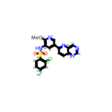 COc1ncc(-c2ccc3ncncc3n2)cc1NS(=O)(=O)c1ccc(F)cc1Cl